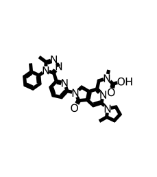 Cc1ccccc1-n1c(C)nnc1-c1cccc(N2Cc3c(cc(N4CCCC4C)nc3CN(C)C(=O)O)C2=O)n1